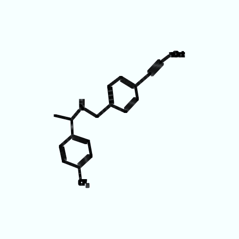 CCCCCCCCC#Cc1ccc(CNC(C)c2ccc(C(F)(F)F)cc2)cc1